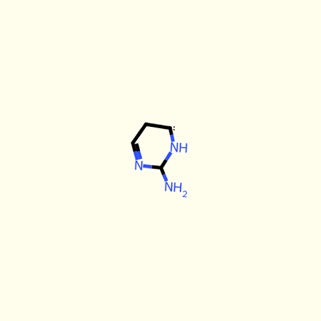 NC1N=CC[C]N1